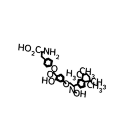 CC1(C)CCC(C)(C)c2cc(/C(COc3ccc(C(=O)Oc4ccc(CC(N)C(=O)O)cc4)c(O)c3)=N\O)ccc21